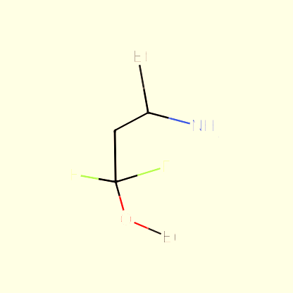 CCOC(F)(F)CC(N)CC